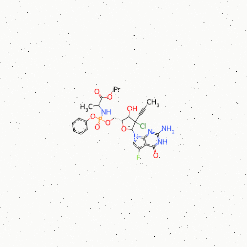 CC#CC1(Cl)C(O)[C@@H](COP(=O)(NC(C)C(=O)OC(C)C)Oc2ccccc2)OC1n1cc(F)c2c(=O)[nH]c(N)nc21